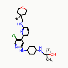 C[C@](O)(CNC1CCC(Nc2cc(-c3cccc(NCC4(C#N)CCOCC4)n3)c(Cl)cn2)CC1)C(F)(F)F